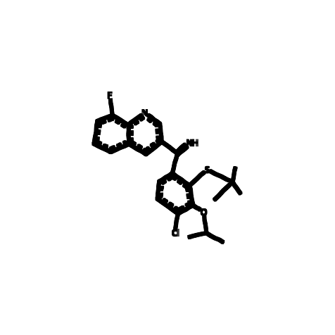 CC(C)Oc1c(Cl)ccc(C(=N)c2cnc3c(F)cccc3c2)c1SC(C)(C)C